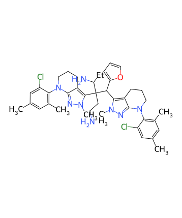 CCC(N)C(CCN)(c1c2c(nn1C)N(c1c(C)cc(C)cc1Cl)CCC2)C(c1ccco1)c1c2c(nn1C)N(c1c(C)cc(C)cc1Cl)CCC2